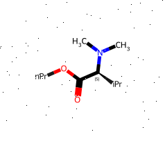 CCCOC(=O)[C@H](C(C)C)N(C)C